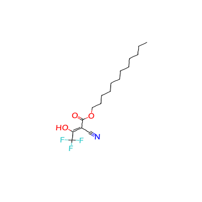 CCCCCCCCCCCCOC(=O)/C(C#N)=C(\O)C(F)(F)F